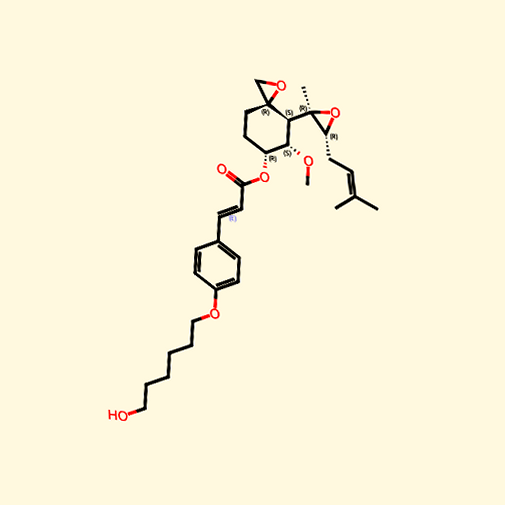 CO[C@@H]1[C@H](OC(=O)/C=C/c2ccc(OCCCCCCO)cc2)CC[C@]2(CO2)[C@H]1[C@@]1(C)O[C@@H]1CC=C(C)C